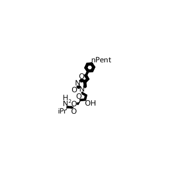 CCCCCc1ccc(-c2cc3cn([C@H]4C[C@H](O)[C@@H](COC(=O)[C@@H](N)C(C)C)O4)c(=O)nc3o2)cc1